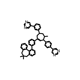 CC1CC(c2cccc(-c3cncnc3)c2)CC(c2cccc(-c3cccc4c3-c3ccccc3CC(C)(C)C4)c2)=CC1c1ccc(-c2cncnc2)cc1